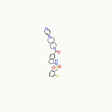 O=C(c1ccc2c(c1)C(NS(=O)(=O)Cc1ccccc1F)CC2)N1CCC2(CC1)CCN(c1ccncc1)CC2